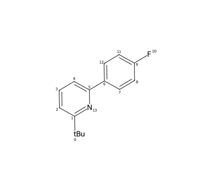 CC(C)(C)c1cccc(-c2ccc(F)cc2)n1